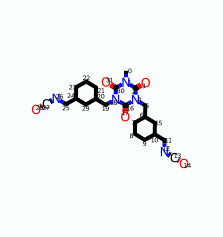 Cn1c(=O)n(CC2CCCC(CN=C=O)C2)c(=O)n(CC2CCCC(CN=C=O)C2)c1=O